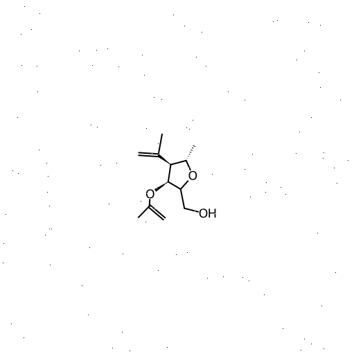 C=C(C)O[C@@H]1C(CO)O[C@@H](C)[C@@H]1C(=C)C